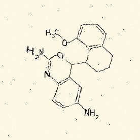 COc1cccc2c1C(C1OC(N)=Nc3ccc(N)cc31)CCC2